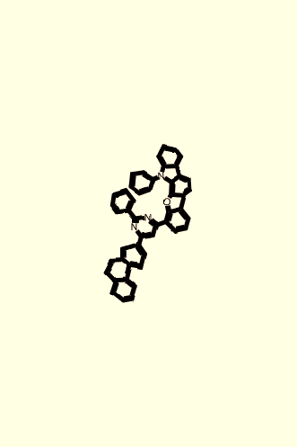 c1ccc(-c2nc(-c3ccc4c(ccc5ccccc54)c3)cc(-c3cccc4c3oc3c4ccc4c5ccccc5n(-c5ccccc5)c43)n2)cc1